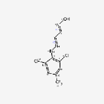 O/N=C/C=N/Nc1c(Cl)cc(C(F)(F)F)cc1Cl